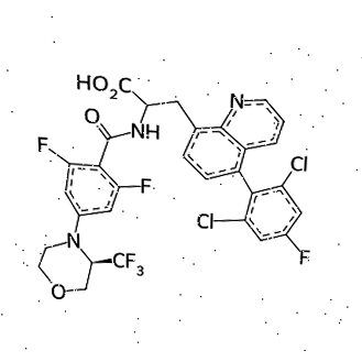 O=C(NC(Cc1ccc(-c2c(Cl)cc(F)cc2Cl)c2cccnc12)C(=O)O)c1c(F)cc(N2CCOC[C@@H]2C(F)(F)F)cc1F